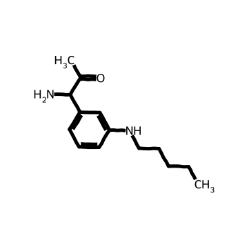 CCCCCNc1cccc(C(N)C(C)=O)c1